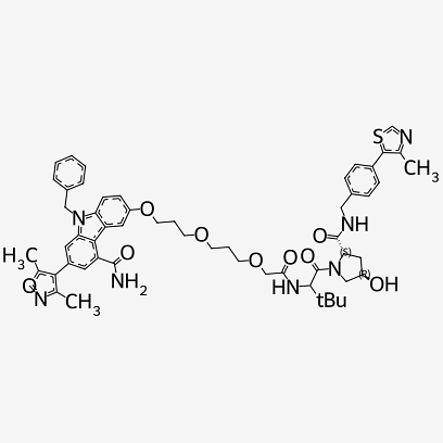 Cc1ncsc1-c1ccc(CNC(=O)[C@@H]2C[C@@H](O)CN2C(=O)C(NC(=O)COCCCOCCCOc2ccc3c(c2)c2c(C(N)=O)cc(-c4c(C)noc4C)cc2n3Cc2ccccc2)C(C)(C)C)cc1